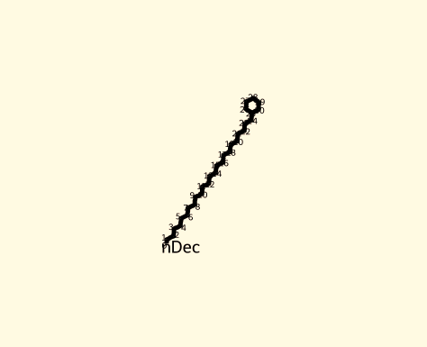 CCCCCCCCCCCCCCCCCCCCCCCCCCCCCCCCCCC1CCCCC1